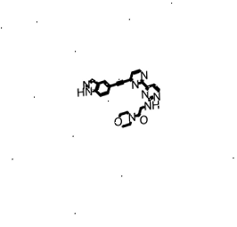 O=C(CNc1nccc(-c2nccc(C#Cc3ccc4[nH]ncc4c3)n2)n1)N1CCOCC1